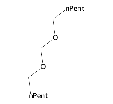 CCCCCCOCOCCCCCC